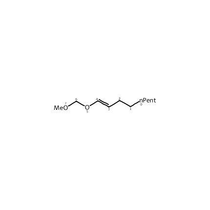 CCCCCCCC=COCOC